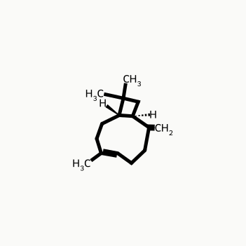 C=C1CC/C=C(\C)CC[C@H]2[C@H]1CC2(C)C